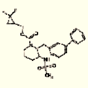 CS(=O)(=O)NC1CCCN(C(=O)OCC2CC2(F)F)C1Cc1cccc(-c2ccccc2)c1